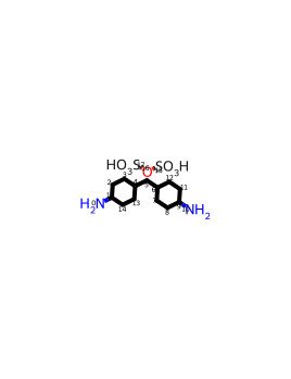 NC1CCC(CC2CCC(N)CC2)CC1.O=S(=O)(O)OS(=O)(=O)O